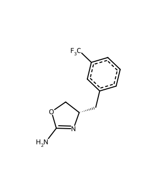 NC1=N[C@@H](Cc2cccc(C(F)(F)F)c2)CO1